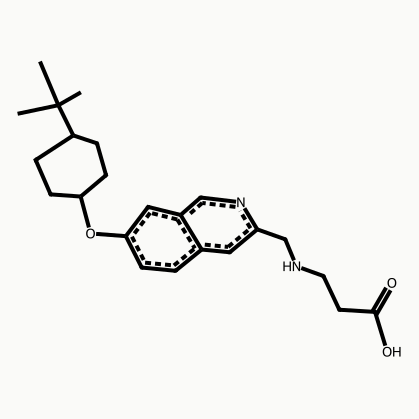 CC(C)(C)C1CCC(Oc2ccc3cc(CNCCC(=O)O)ncc3c2)CC1